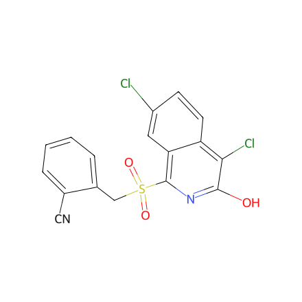 N#Cc1ccccc1CS(=O)(=O)c1nc(O)c(Cl)c2ccc(Cl)cc12